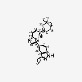 COc1n[nH]c2ccc(-c3cnc4ccc(N5CCOC(C)(C)C5)nn34)cc12